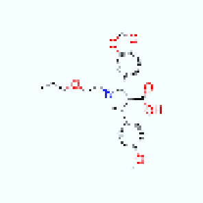 CCCOCCN1CC(c2ccc(OC)cc2)[C@H](C(=O)O)[C@H]1c1ccc2c(c1)OCO2